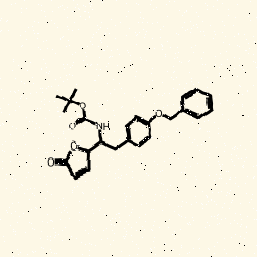 CC(C)(C)OC(=O)NC(Cc1ccc(OCc2ccccc2)cc1)C1C=CC(=O)O1